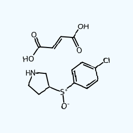 O=C(O)C=CC(=O)O.[O-][S+](c1ccc(Cl)cc1)C1CCNC1